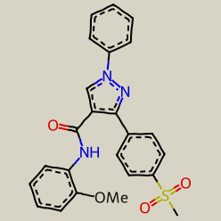 COc1ccccc1NC(=O)c1cn(-c2ccccc2)nc1-c1ccc(S(C)(=O)=O)cc1